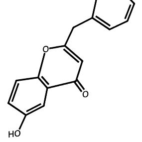 O=c1cc(Cc2ccccc2)oc2ccc(O)cc12